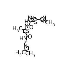 Cc1cc(C(=O)NCCN2CCC(C)(C)C2)sc1NC(=O)c1cnn2cc(-c3cnn(C)c3)sc12